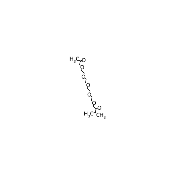 CC(=O)COCCOCCOCCOCCOCC(=O)C(C)C